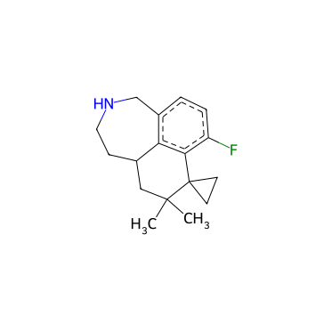 CC1(C)CC2CCNCc3ccc(F)c(c32)C12CC2